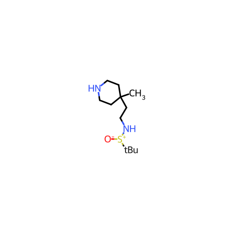 CC1(CCN[S+]([O-])C(C)(C)C)CCNCC1